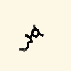 O=C(OCCS(=O)(=O)O)c1cc(F)cc(F)c1